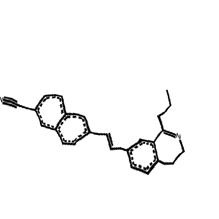 CCCC1=NCCc2ccc(C=Cc3ccc4cc(C#N)ccc4c3)cc21